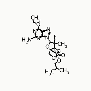 CCOc1nc(N)nc2c1ncn2[C@@H]1O[C@]23COP(=O)(OCC(C)C)O[C@@]2(C3)[C@@]1(C)F